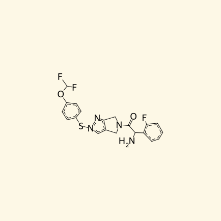 NC(C(=O)N1Cc2cn(Sc3ccc(OC(F)F)cc3)nc2C1)c1ccccc1F